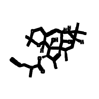 C=CCN(C)C(=O)O[C@H]1C(C)=C[C@]23C(O)[C@@H](C=C4COC(C)(C)O[C@H]4[C@]12O)[C@H]1[C@@H](C[C@H]3C)C1(C)C